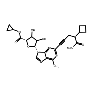 COC(=O)N(CC#Cc1nc(N)c2ncn([C@@H]3O[C@H](C(=O)NC4CC4)C(O)C3O)c2n1)C1CCC1